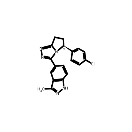 Cc1n[nH]c2ccc(-c3nnc4n3[C@H](c3ccc(Cl)cc3)CC4)cc12